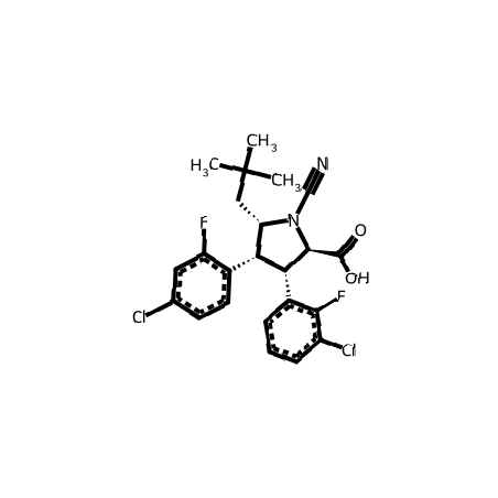 CC(C)(C)C[C@H]1[C@@H](c2ccc(Cl)cc2F)[C@@H](c2cccc(Cl)c2F)[C@H](C(=O)O)N1C#N